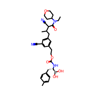 CCN(C(=O)C(C#N)C(C)Cc1cc(C#N)cc(CCOC(=O)N[C@@H](Cc2ccc(C)cc2)B(O)O)c1)C1CCOCC1